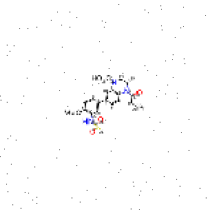 COc1ccc(-c2ccc3c(c2)N(C(=O)O)C[C@H](C)N3C(=O)CC(C)C)cc1NS(C)(=O)=O